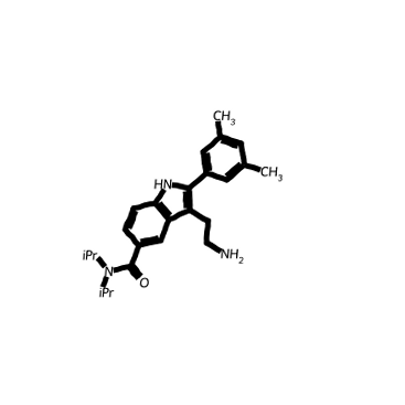 Cc1cc(C)cc(-c2[nH]c3ccc(C(=O)N(C(C)C)C(C)C)cc3c2CCN)c1